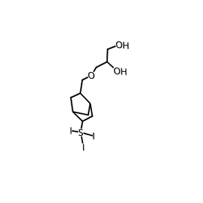 OCC(O)COCC1CC2CC1CC2S(I)(I)I